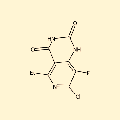 CCc1nc(Cl)c(F)c2[nH]c(=O)[nH]c(=O)c12